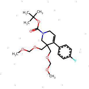 COCOCC1(COCOC)CN(C(=O)OC(C)(C)C)CC=C1c1ccc(F)cc1